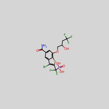 NC(=O)c1cc(OCC(O)CC(F)(F)F)c2sc(C(F)(F)P(=O)(O)O)c(Br)c2c1